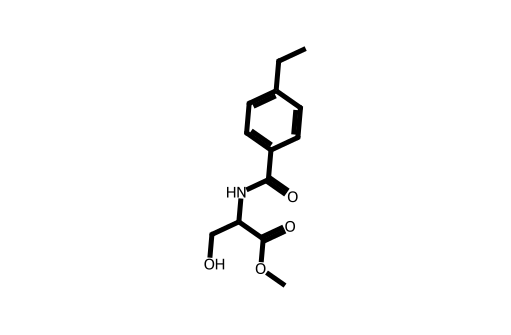 CCc1ccc(C(=O)NC(CO)C(=O)OC)cc1